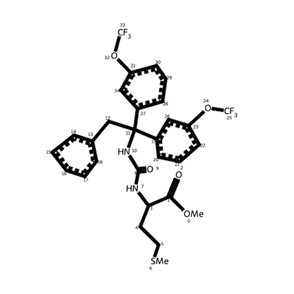 COC(=O)C(CCSC)NC(=O)NC(Cc1ccccc1)(c1cccc(OC(F)(F)F)c1)c1cccc(OC(F)(F)F)c1